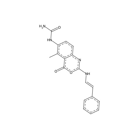 Cc1c(NC(N)=O)ccc2nc(NC=Cc3ccccc3)oc(=O)c12